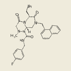 CC(C)C[C@H]1C(=O)N(Cc2cccc3ccccc23)C[C@H]2N1C(=O)CN(C)N2C(=O)NCc1ccc(F)cc1